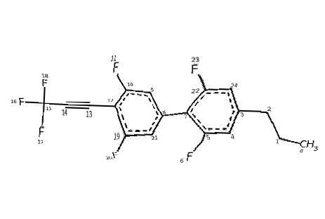 CCCc1cc(F)c(-c2cc(F)c(C#CC(F)(F)F)c(F)c2)c(F)c1